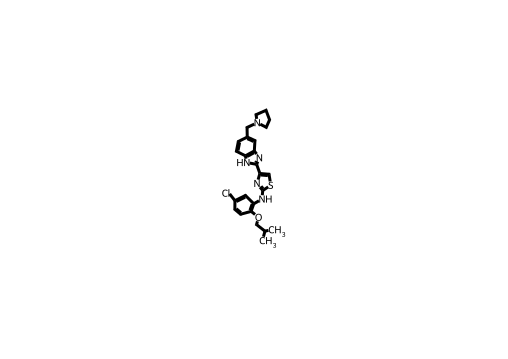 CC(C)COc1ccc(Cl)cc1Nc1nc(-c2nc3cc(CN4CCCC4)ccc3[nH]2)cs1